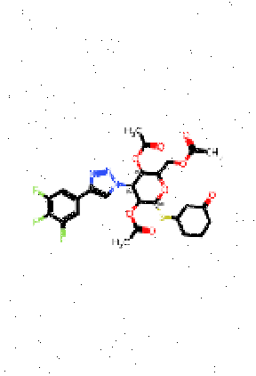 CC(=O)OCC1O[C@H](SC2CCCC(=O)C2)C(OC(C)=O)[C@@H](n2cc(-c3cc(F)c(F)c(F)c3)nn2)[C@H]1OC(C)=O